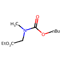 CCCCOC(=O)N(C)CC(=O)OCC